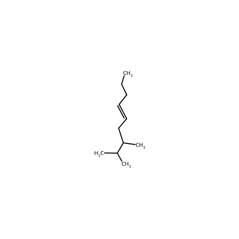 [CH2]C(C)C(C)CC=CCCC